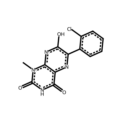 Cn1c(=O)[nH]c(=O)c2nc(-c3ccccc3Cl)c(O)nc21